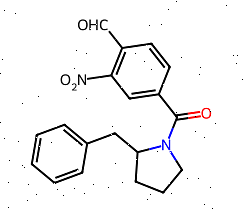 O=Cc1ccc(C(=O)N2CCCC2Cc2ccccc2)cc1[N+](=O)[O-]